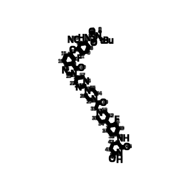 CN(C(C)(C)C)S(=O)(=O)Nc1ccc(F)c(Oc2ccc3ncn(-c4cnc(N5CCN(C(=O)CN6CCC(c7ccc(N[C@@H]8CCC(=O)NC8=O)cc7F)CC6)CC5)nc4)c(=O)c3c2)c1C#N